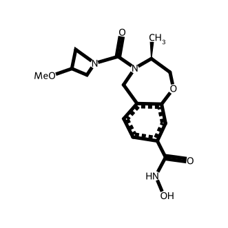 COC1CN(C(=O)N2Cc3ccc(C(=O)NO)cc3OC[C@@H]2C)C1